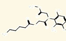 CCCCCC(=O)SCC(=O)N(CC(=O)OC)c1c(C)ccc(Br)c1C